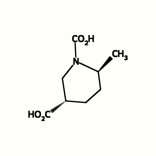 C[C@H]1CC[C@H](C(=O)O)CN1C(=O)O